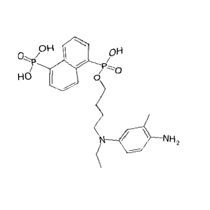 CCN(CCCCOP(=O)(O)c1cccc2c(P(=O)(O)O)cccc12)c1ccc(N)c(C)c1